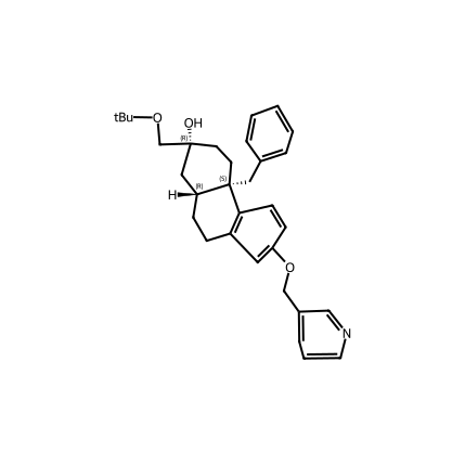 CC(C)(C)OC[C@@]1(O)CC[C@@]2(Cc3ccccc3)c3ccc(OCc4cccnc4)cc3CC[C@@H]2C1